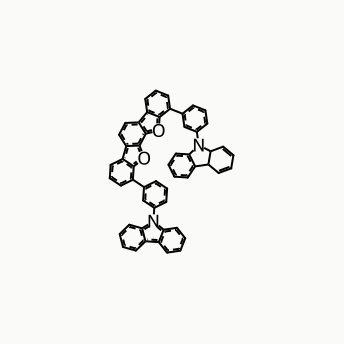 C1=CC2c3ccccc3N(c3cccc(-c4cccc5c4oc4c5ccc5c6cccc(-c7cccc(-n8c9ccccc9c9ccccc98)c7)c6oc54)c3)C2C=C1